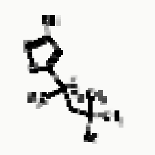 CC(=O)C(C)(C)CC(C)(C)c1cc(O)no1